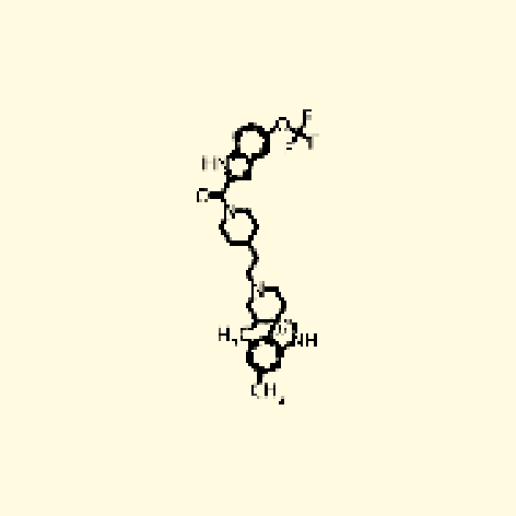 Cc1ccc2c(c1)NC[C@]21CCN(CCC2CCN(C(=O)c3cc4cc(OC(F)(F)F)ccc4[nH]3)CC2)CC1C